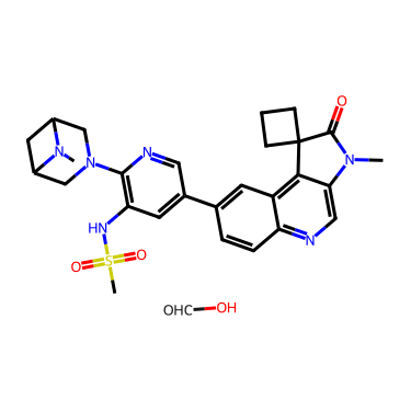 CN1C(=O)C2(CCC2)c2c1cnc1ccc(-c3cnc(N4CC5CC(C4)N5C)c(NS(C)(=O)=O)c3)cc21.O=CO